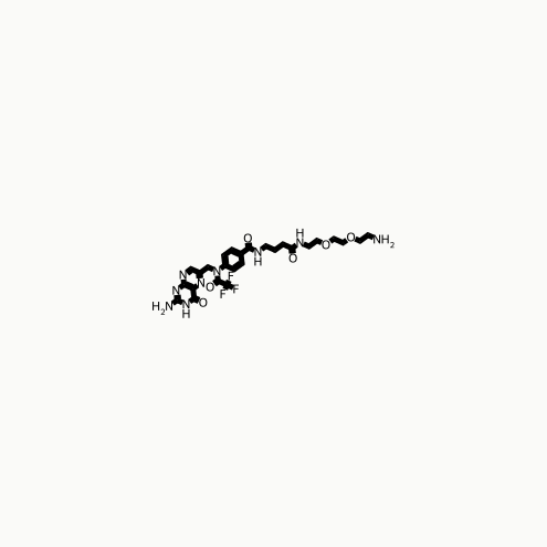 NCCOCCOCCNC(=O)CCCNC(=O)c1ccc(N(Cc2cnc3nc(N)[nH]c(=O)c3n2)C(=O)C(F)(F)F)cc1